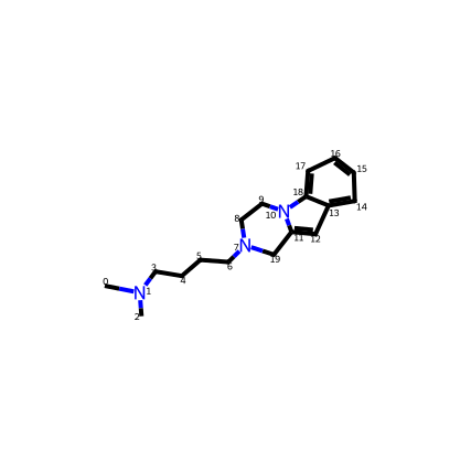 CN(C)CCCCN1CCn2c(cc3ccccc32)C1